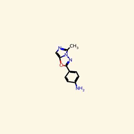 Cc1ncc2oc(-c3ccc(N)cc3)nn12